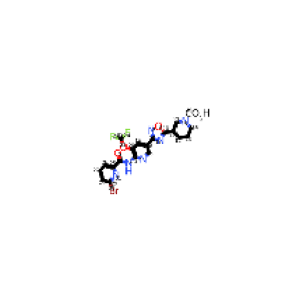 O=C(Nc1ncc(-c2noc(C3CCCN(C(=O)O)C3)n2)cc1OC(F)F)c1cccc(Br)n1